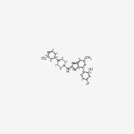 Cc1cc(-c2ccc(F)cc2Cl)c2nc(NC3CCN(c4ccnc(Cl)c4)CC3)nn2c1